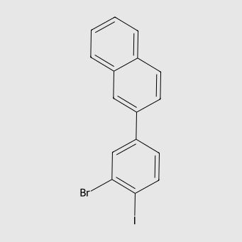 Brc1cc(-c2ccc3ccccc3c2)ccc1I